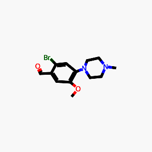 COc1cc(C=O)c(Br)cc1N1CCN(C)CC1